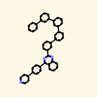 c1ccc(-c2cccc(-c3cccc(-c4cccc(-c5cccc(-c6nc(-c7ccc(-c8ccncc8)cc7)c7ccccc7n6)c5)c4)c3)c2)cc1